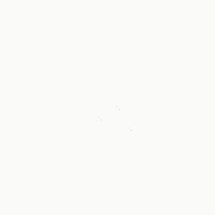 Nc1ccc(O)nc1NC1CCOCC1